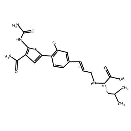 CC(C)C[C@H](NC/C=C/c1ccc(-c2cc(C(N)=O)c(NC(N)=O)s2)c(Cl)c1)C(=O)O